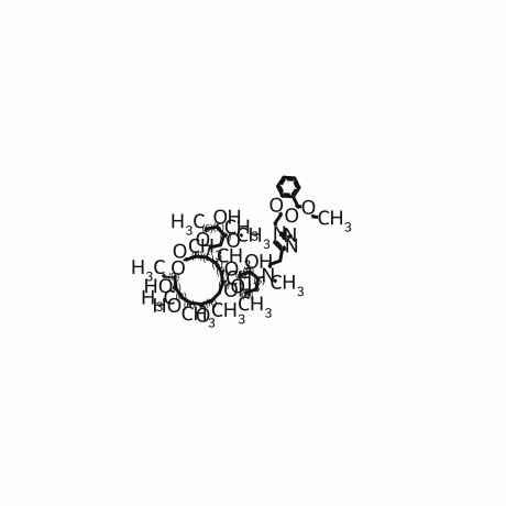 CCOC(=O)c1ccccc1OCCn1cc(CCN(C)[C@H]2C[C@@H](C)O[C@@H](O[C@@H]3[C@@H](C)[C@H](C4C[C@@](C)(OC)[C@@H](O)[C@H](C)O4)[C@@H](C)C(=O)O[C@H](CC)[C@@](C)(O)[C@H](O)[C@@H](C)C(=O)[C@H](C)C[C@@]3(C)O)[C@@H]2O)nn1